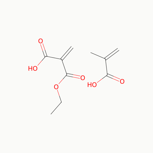 C=C(C(=O)O)C(=O)OCC.C=C(C)C(=O)O